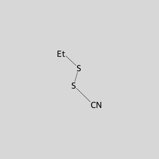 CCSSC#N